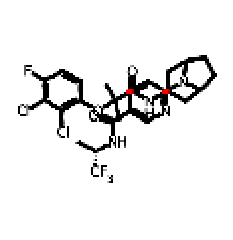 C[C@H](NC(=O)c1ccc(N2C3CCC2CC(NC(=O)C(C)(C)Oc2ccc(F)c(Cl)c2Cl)C3)nc1)C(F)(F)F